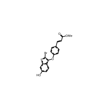 COC(=O)C=Cc1ccc(Oc2c(Br)sc3cc(O)ccc23)cc1